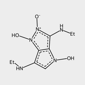 CCNc1cn(O)c2c(NCC)[n+]([O-])n(O)c12